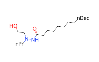 CCCCCCCCCCCCCCCCCC(=O)NN(CCC)CCO